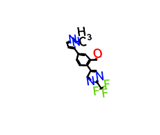 Cn1nccc1-c1ccc(-c2cnc(C(F)(F)F)nc2)c(C=O)c1